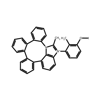 Cc1c(OI)cccc1-[n+]1c(C)n2c3ccccc3c3ccccc3c3ccccc3c3cccc1c32